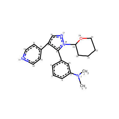 CN(C)c1cccc(-c2c(-c3ccncc3)cnn2C2CCCCO2)c1